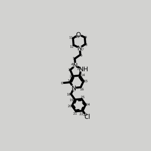 CC1=C2CN(CCN3CCOCC3)NC2=CCN1Cc1ccc(Cl)cc1